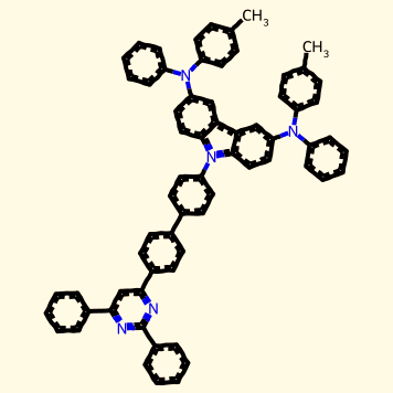 Cc1ccc(N(c2ccccc2)c2ccc3c(c2)c2cc(N(c4ccccc4)c4ccc(C)cc4)ccc2n3-c2ccc(-c3ccc(-c4cc(-c5ccccc5)nc(-c5ccccc5)n4)cc3)cc2)cc1